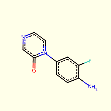 Nc1ccc(-n2ccncc2=O)cc1F